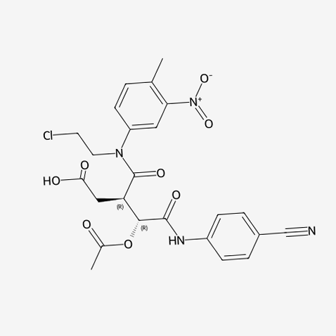 CC(=O)O[C@@H](C(=O)Nc1ccc(C#N)cc1)[C@@H](CC(=O)O)C(=O)N(CCCl)c1ccc(C)c([N+](=O)[O-])c1